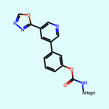 CCCCCCCNC(=O)Oc1cccc(-c2cncc(-c3nnco3)c2)c1